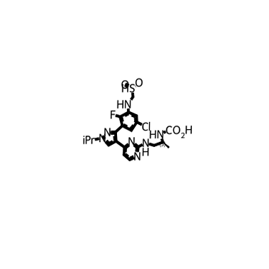 CC(C)n1cc(-c2ccnc(NC[C@H](C)NC(=O)O)n2)c(-c2cc(Cl)cc(NC[SH](=O)=O)c2F)n1